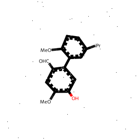 COc1cc(C=O)c(-c2cc(C(C)C)ccc2OC)cc1O